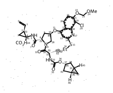 C=C[C@@H]1C[C@]1(NC(=O)[C@@H]1C[C@@H](Oc2cc(SCC)nc3c(Cl)c(OCOC)ccc23)CN1C(=O)[C@@H](NC(=O)O[C@@H]1C[C@@H]2C[C@@H]2C1)C(C)(C)C)C(=O)O